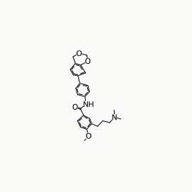 COc1ccc(C(=O)Nc2ccc(-c3ccc4c(c3)OCOC4)cc2)cc1CCCN(C)C